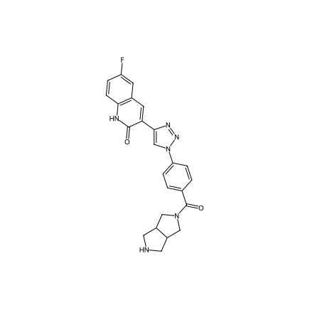 O=C(c1ccc(-n2cc(-c3cc4cc(F)ccc4[nH]c3=O)nn2)cc1)N1CC2CNCC2C1